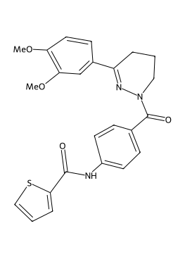 COc1ccc(C2=NN(C(=O)c3ccc(NC(=O)c4cccs4)cc3)CCC2)cc1OC